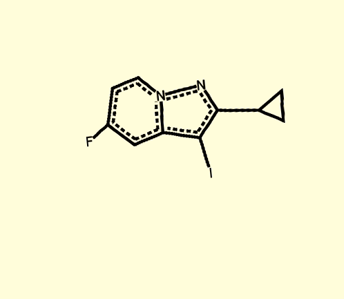 Fc1ccn2nc(C3CC3)c(I)c2c1